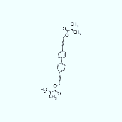 C=C(C)C(=O)OCC#Cc1ccc(-c2ccc(C#CCOC(=O)C(=C)C)cc2)cc1